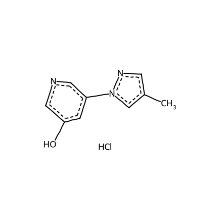 Cc1cnn(-c2cncc(O)c2)c1.Cl